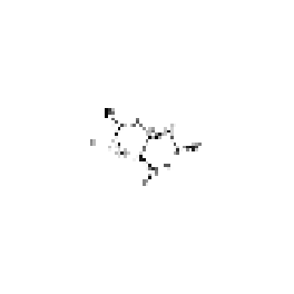 CC(C)=C1N=C(F)C(F)=C/C1=N/CC(C)C